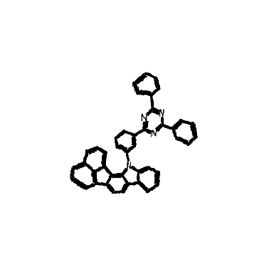 c1ccc(-c2nc(-c3ccccc3)nc(-c3cccc(-n4c5ccccc5c5ccc6c(c54)-c4cccc5cccc-6c45)c3)n2)cc1